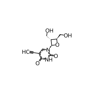 C#Cc1cn([C@@H]2O[C@H](CO)[C@H]2CO)c(=O)[nH]c1=O